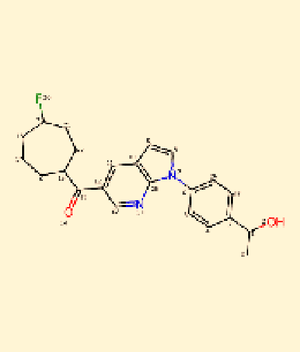 CC(O)c1ccc(-n2ccc3cc(C(=O)C4CCCC(F)CC4)cnc32)cc1